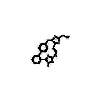 CCC=Cc1nc(CC(C)C)nn1Cc1ccc(-c2ccccc2-c2nnn[nH]2)cc1